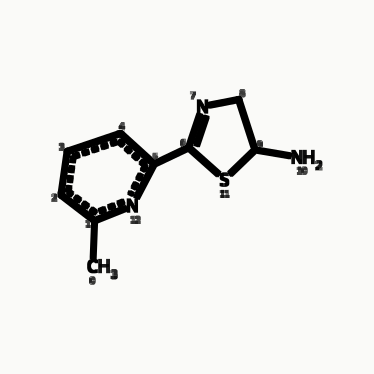 Cc1cccc(C2=NCC(N)S2)n1